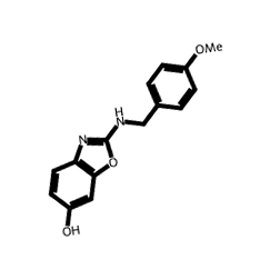 COc1ccc(CNc2nc3ccc(O)cc3o2)cc1